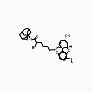 COc1ccc2c3c1O[C@H]1C[C@@H](O)C=C[C@@]31CCN(CCCCC(Br)C(=O)NC13CC4CC(CC(C4)C1)C3)C2